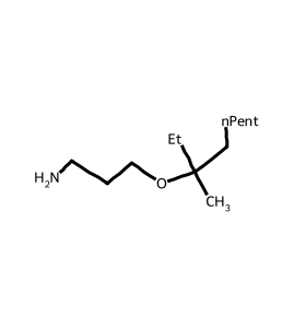 CCCCCCC(C)(CC)OCCCN